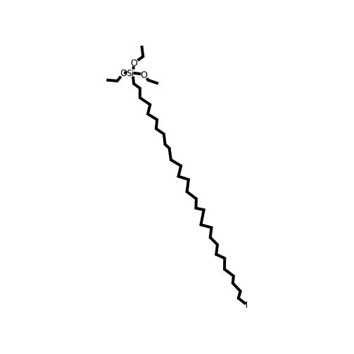 CCO[Si](CCCCCCCCCCCCCCCCCCCCCCCCCCCCCI)(OCC)OCC